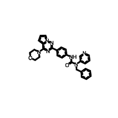 O=C(Nc1ccc(-c2nc(N3CCOCC3)c3cccn3n2)cc1)N(Cc1ccccc1)c1cccnc1